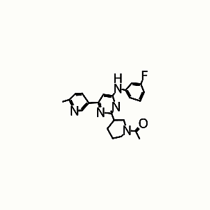 CC(=O)N1CCCC(c2nc(Nc3cccc(F)c3)cc(-c3ccc(C)nc3)n2)C1